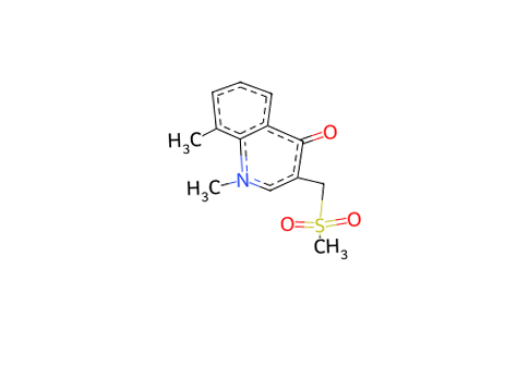 Cc1cccc2c(=O)c(CS(C)(=O)=O)cn(C)c12